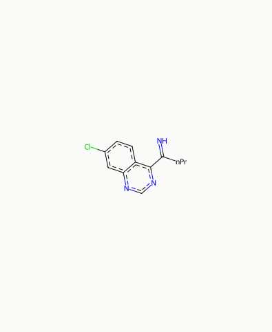 CCCC(=N)c1ncnc2cc(Cl)ccc12